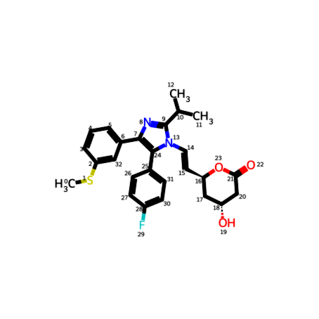 CSc1cccc(-c2nc(C(C)C)n(/C=C/[C@@H]3C[C@@H](O)CC(=O)O3)c2-c2ccc(F)cc2)c1